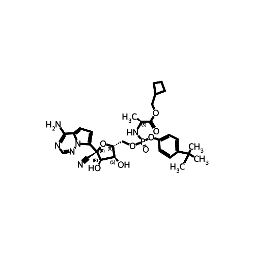 C[C@H](NP(=O)(OC[C@H]1O[C@@](C#N)(c2ccc3c(N)ncnn23)[C@H](O)[C@@H]1O)Oc1ccc(C(C)(C)C)cc1)C(=O)OCC1CCC1